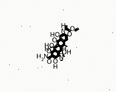 CCOC(=O)C(C)Nc1ccc2c(c1O)C(=O)C1=C(O)[C@@]3(O)C(=O)C(C(N)=O)=C(O)[C@@H](N(C)C)[C@H]3[C@H](O)[C@H]1[C@@H]2C